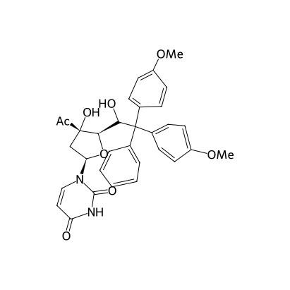 COc1ccc(C(c2ccccc2)(c2ccc(OC)cc2)C(O)[C@H]2O[C@@H](n3ccc(=O)[nH]c3=O)C[C@@]2(O)C(C)=O)cc1